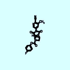 Cc1cc(N2C(=O)[C@@H]3C4CC(CN4C(=O)Oc4ccc(F)cc4)N3C2=O)cnc1C#N